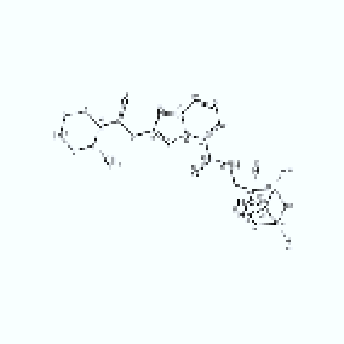 C[C@@H]1CNCCN1C(=O)Cc1cn2c(C(=O)NC[C@@H]3CC[C@@H]4C[C@H]3C4(C)C)cccc2n1